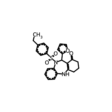 CCc1ccc(S(=O)(=O)N2c3ccccc3NC3=C(C(=O)CCC3)C2c2ccco2)cc1